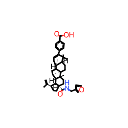 C=C(C)[C@@H]1CC[C@]2(C(=O)NCc3ccoc3)CC[C@]3(C)[C@H](CC[C@@H]4[C@@]5(C)CC=C(c6ccc(C(=O)O)cc6)C(C)(C)[C@@H]5CC[C@]43C)[C@@H]12